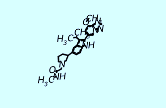 CNC(=O)CN1CCCC(c2ccc3[nH]c(-c4cc(OC)c5ncnn5c4)c(C(C)C)c3c2)C1